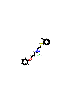 Cc1ccccc1SCCNCCCOc1ccccc1.Cl